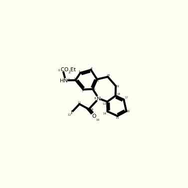 CCOC(=O)Nc1ccc2c(c1)N(C(=O)CI)c1ccccc1CC2